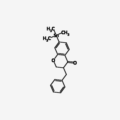 [CH3][Sn]([CH3])([CH3])[c]1ccc2c(c1)OCC(Cc1ccccc1)C2=O